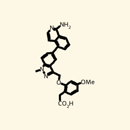 COc1ccc(CC(=O)O)c(OCc2nn(C)c3ccc(-c4cccc5c(N)nccc45)cc23)c1